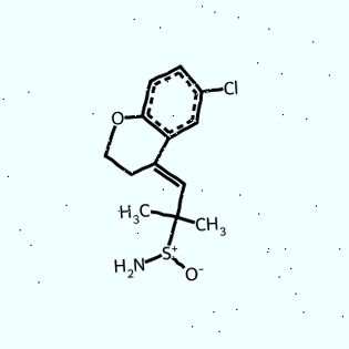 CC(C)(C=C1CCOc2ccc(Cl)cc21)[S+](N)[O-]